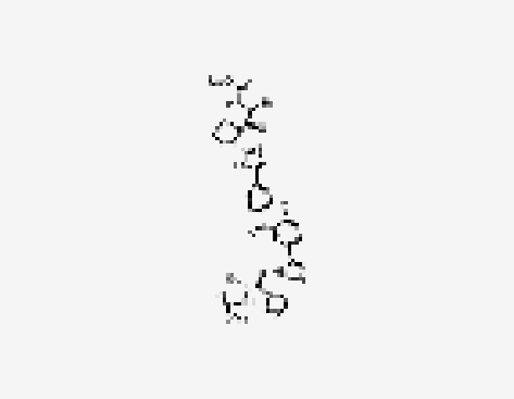 CC[C@H](C)[C@H](NC(=O)OC)C(=O)N1CCC[C@H]1c1ncc(-c2ccc3c(=O)c4cc(-c5cnc([C@@H]6CSCN6C(=O)[C@@H](NC(=O)OC)[C@@H](C)CC)[nH]5)ccc4oc3c2)[nH]1